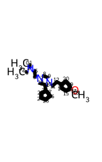 CCN(CC)CCN1CCN(CCc2ccc(OC)cc2)C(c2ccccc2)C1